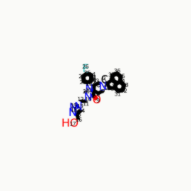 C[C@@]1(N2CCC3(CC2)C(=O)N(CCn2cc(CO)nn2)CN3c2ccc(F)cc2)Cc2cccc3cccc1c23